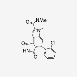 CNC(=O)c1cc2c3c(c(-c4ccccc4Cl)cc2n1C)C(=O)NC3=O